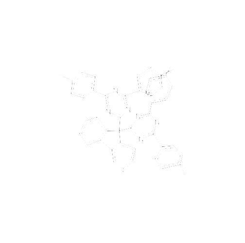 Cc1ccc(-c2nc(-c3ccc(C)cc3)nc(C3(c4nc(-c5ccc(C)cc5)nc(-c5ccc(C)cc5)n4)c4ccccc4-c4ccccc43)n2)cc1